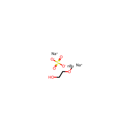 CCCCOCCO.O=S(=O)([O-])[O-].[Na+].[Na+]